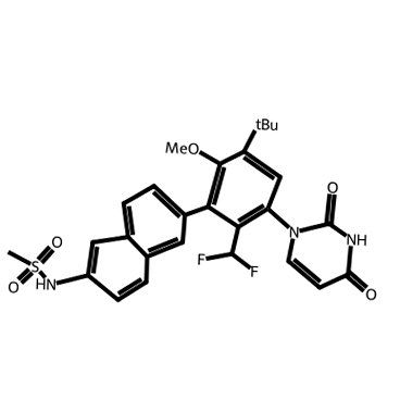 COc1c(C(C)(C)C)cc(-n2ccc(=O)[nH]c2=O)c(C(F)F)c1-c1ccc2cc(NS(C)(=O)=O)ccc2c1